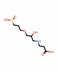 O=C(O)CCNCC(O)COCCCS(=O)O